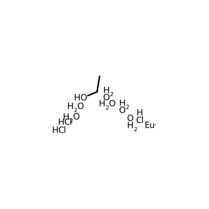 CCO.Cl.Cl.Cl.O.O.O.O.O.O.[Eu]